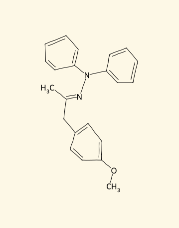 COc1ccc(CC(C)=NN(c2ccccc2)c2ccccc2)cc1